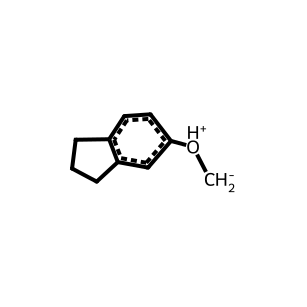 [CH2-][OH+]c1ccc2c(c1)CCC2